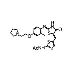 CC(=O)Nc1ncc(C=C2SC(=Nc3ccc(OCCN4CCCC4)cc3C)NC2=O)s1